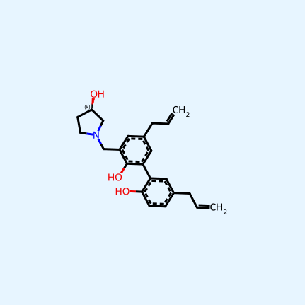 C=CCc1ccc(O)c(-c2cc(CC=C)cc(CN3CC[C@@H](O)C3)c2O)c1